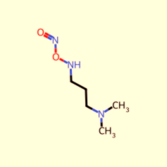 CN(C)CCCNON=O